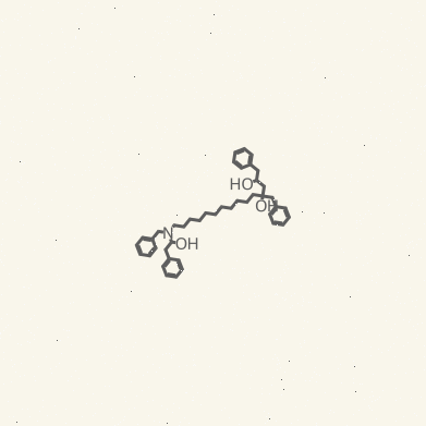 OC(Cc1ccccc1)CC(O)(CCCCCCCCCCCN(Cc1ccccc1)C(O)Cc1ccccc1)Cc1ccccc1